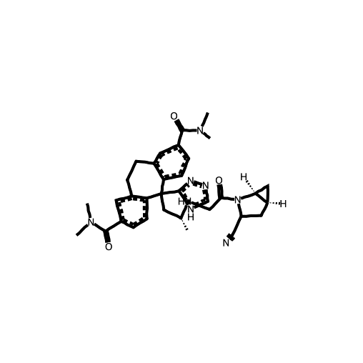 C[C@H](CC1(c2nnc[nH]2)c2ccc(C(=O)N(C)C)cc2CCc2cc(C(=O)N(C)C)ccc21)NCC(=O)N1C(C#N)C[C@@H]2C[C@@H]21